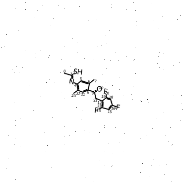 C/C(S)=N/c1cc(C)c(C(=O)Cc2c(F)cc(F)cc2F)cc1C